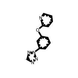 [c]1nnn(-c2cccc(Oc3ccccn3)c2)n1